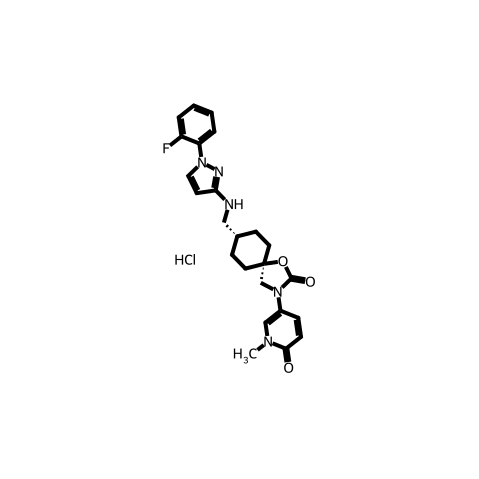 Cl.Cn1cc(N2C[C@]3(CC[C@@H](CNc4ccn(-c5ccccc5F)n4)CC3)OC2=O)ccc1=O